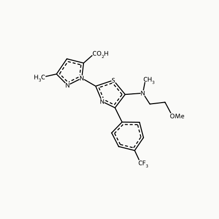 COCCN(C)c1sc(-n2nc(C)cc2C(=O)O)nc1-c1ccc(C(F)(F)F)cc1